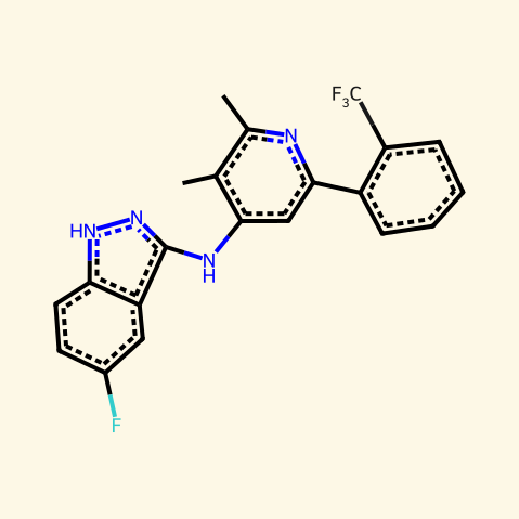 Cc1nc(-c2ccccc2C(F)(F)F)cc(Nc2n[nH]c3ccc(F)cc23)c1C